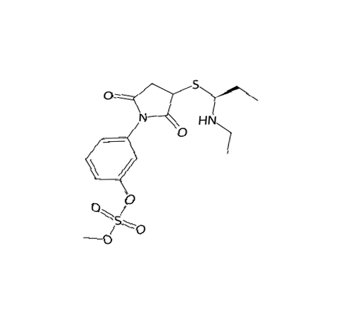 CCN[C@H](CC)SC1CC(=O)N(c2cccc(OS(=O)(=O)OC)c2)C1=O